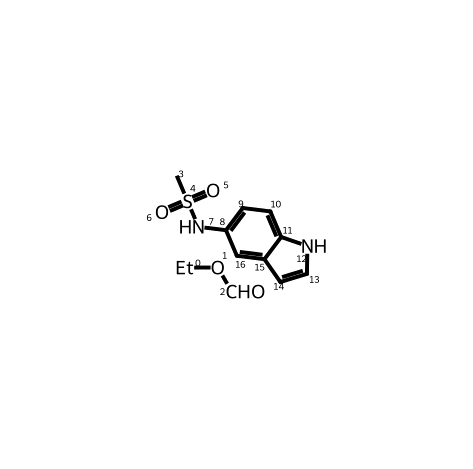 CCOC=O.CS(=O)(=O)Nc1ccc2[nH]ccc2c1